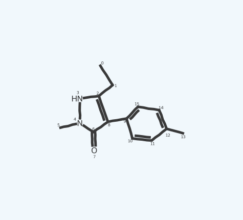 CCc1[nH]n(C)c(=O)c1-c1ccc(C)cc1